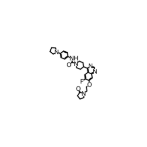 O=C1CCCN1CCOc1cc2ncnc(C3CCN(C(=O)Nc4ccc(N5CCCC5)cc4)CC3)c2cc1F